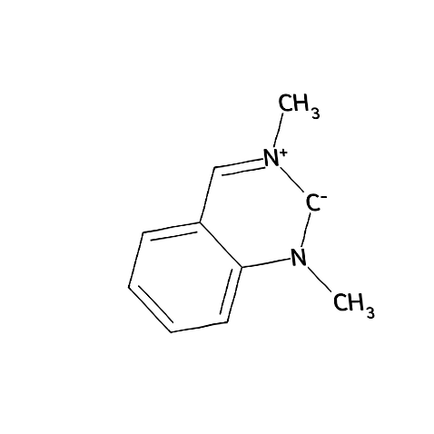 CN1[CH-][N+](C)=Cc2ccccc21